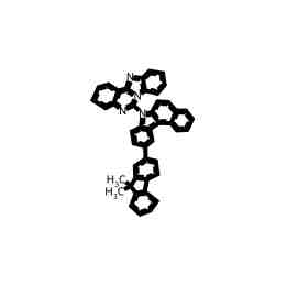 CC1(C)c2ccccc2-c2ccc(-c3ccc4c(c3)c3c5ccccc5ccc3n4-c3nc4ccccc4c4nc5ccccc5n34)cc21